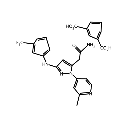 Cc1cc(-n2nc(Nc3cccc(C(F)(F)F)c3)cc2CC(N)=O)ccn1.O=C(O)c1cccc(C(=O)O)c1